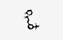 O=C1C=CCCN1C(=O)/C=C/c1cccc(C(F)(F)F)c1